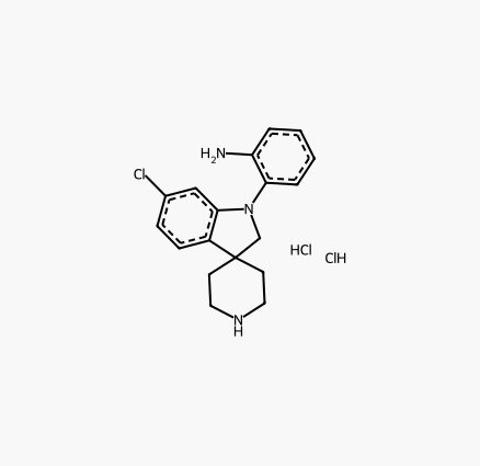 Cl.Cl.Nc1ccccc1N1CC2(CCNCC2)c2ccc(Cl)cc21